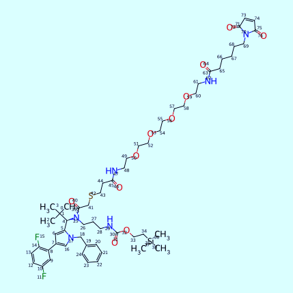 CC(C)(C)[C@H](c1cc(-c2cc(F)ccc2F)cn1Cc1ccccc1)N(CCCNC(=O)OCC[Si](C)(C)C)C(=O)CSCCC(=O)NCCOCCOCCOCCOCCNC(=O)CCCCCN1C(=O)C=CC1=O